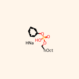 CCCCCCCCCOP(=O)(O)Oc1ccccc1.[NaH]